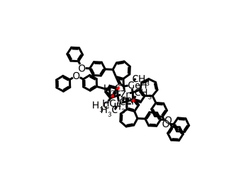 CC1=CC2=C(C=CC=CC2c2ccc(Oc3ccccc3)cc2)[C]12[GeH]([CH3])[C]1(C(C)=CC3=C1C=CC=CC3c1ccc(Oc3ccccc3)cc1)[Zr]21([Cl])([Cl])[C]2(C(C)=CC3=C2C=CC=CC3c2ccc(Oc3ccccc3)cc2)[GeH]([CH3])[C]12C(C)=CC1=C2C=CC=CC1c1ccc(Oc2ccccc2)cc1